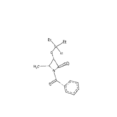 CC[Si](CC)(CC)OC1C(=O)N(C(=O)c2ccccc2)C1C